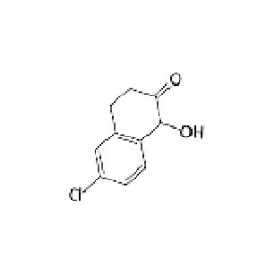 O=C1CCc2cc(Cl)ccc2C1O